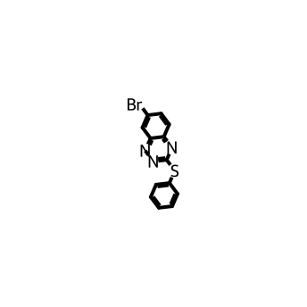 Brc1ccc2nc(Sc3ccccc3)nnc2c1